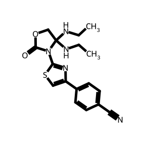 CCNC1(NCC)COC(=O)N1c1nc(-c2ccc(C#N)cc2)cs1